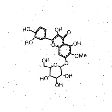 COc1c(O[C@@H]2O[C@H](CO)[C@@H](O)[C@H](O)[C@H]2O)cc2oc(-c3ccc(O)c(O)c3)c(O)c(=O)c2c1O